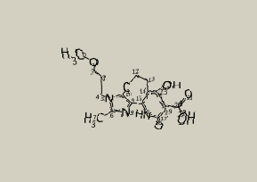 COCCCn1c(C)nc2c1CCCc1c-2[nH]c(=O)c(C(=O)O)c1O